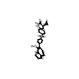 COc1c(-c2ccc(S(=O)(=O)C3CCC4(CC3)CC(C3CC3)C(=O)NN4)cc2)ccc2cccnc12